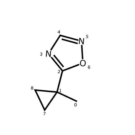 CC1(c2ncno2)CC1